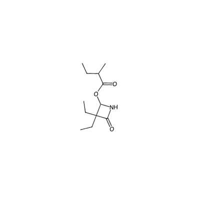 CCC(C)C(=O)OC1NC(=O)C1(CC)CC